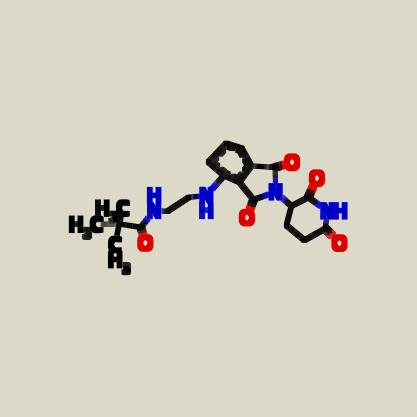 CC(C)(C)C(=O)NCCNc1cccc2c1C(=O)N(C1CCC(=O)NC1=O)C2=O